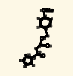 COc1ccc(COC(=O)CC(=O)c2cccs2)cc1